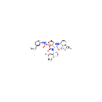 CSc1cccc(NC(=O)C2C3C=CC4(O3)C2C(=O)N(C2CCCC(C)C2C)C4C(=O)NC2CCCC(C)C2C)c1